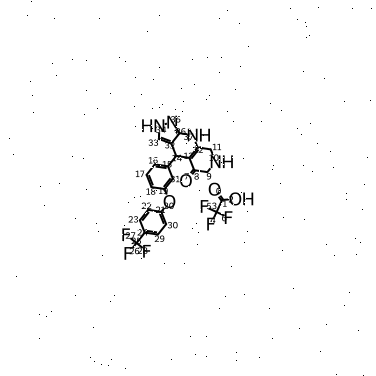 O=C(O)C(F)(F)F.O=C1CNCC2=C1C(c1cccc(Oc3ccc(C(F)(F)F)cc3)c1)c1c[nH]nc1N2